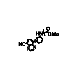 COC(=O)C(C)(C)N[C@@H]1CCCN(c2ccc(C#N)c3nccnc23)C1